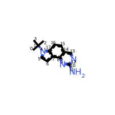 CC(C)(C)n1ccc2c3nc(N)ncc3ccc21